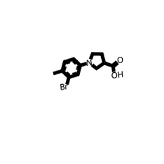 Cc1ccc(N2CCC(C(=O)O)C2)cc1Br